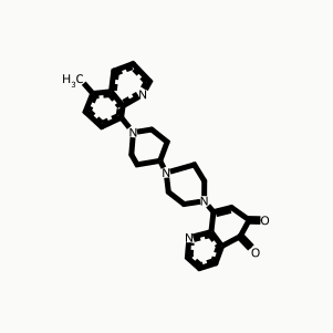 Cc1ccc(N2CCC(N3CCN(C4=CC(=O)C(=O)c5cccnc54)CC3)CC2)c2ncccc12